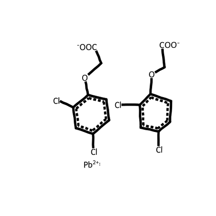 O=C([O-])COc1ccc(Cl)cc1Cl.O=C([O-])COc1ccc(Cl)cc1Cl.[Pb+2]